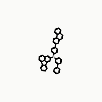 c1ccc(-c2cccc(N(c3ccc(-c4ccc5c(ccc6ccccc65)c4)cc3)c3cc4c5c(cccc5c3)-c3ccccc3-4)c2)cc1